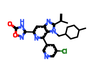 C=C(C)c1nc2cc(-c3noc(=O)[nH]3)nc(-c3cncc(Cl)c3)c2n1CC1CCC(C)CC1